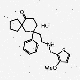 COc1ccsc1CNCCC1(c2ccccn2)CCC(=O)C2(CCCC2)C1.Cl